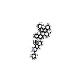 C=C(/C=C\c1ccc2c(c1C)NC(c1ccc(-c3nc4c(c5c6c(c7c(c35)C=CCC7C)C=CCC6)CCC=C4)c3ccccc13)C=C2)C1=CC=CCC1